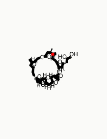 C=C1CC2CC[C@@]34C[C@H]5O[C@H]6[C@@H](O3)[C@H]3OC(CC[C@@H]3O[C@H]6[C@H]5O4)CC(=O)C[C@H]3C(C[C@H]4OC(CC[C@@H]1O2)C[C@@H](C)C4=C)O[C@H](C[C@H](O)CO)[C@@H]3C